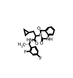 C[C@H](NC(=O)C(CC1CC1)n1c(=O)[nH]c2ccccc2c1=O)c1ccc(F)cc1F